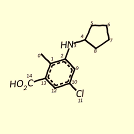 Cc1c(NC2CCCC2)cc(Cl)cc1C(=O)O